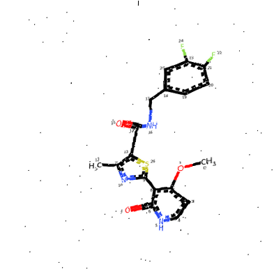 COc1cc[nH]c(=O)c1-c1nc(C)c(C(=O)NCc2ccc(F)c(F)c2)s1